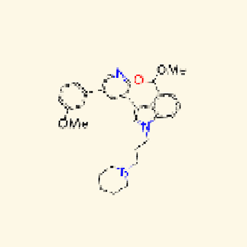 COC(=O)c1cccc2c1c(-c1cncc(-c3cccc(OC)c3)c1)cn2CCCN1CCCCC1